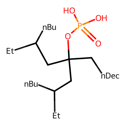 CCCCCCCCCCCC(CC(CC)CCCC)(CC(CC)CCCC)OP(=O)(O)O